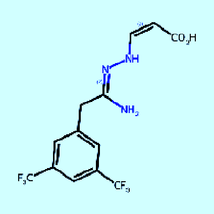 N/C(Cc1cc(C(F)(F)F)cc(C(F)(F)F)c1)=N\N/C=C\C(=O)O